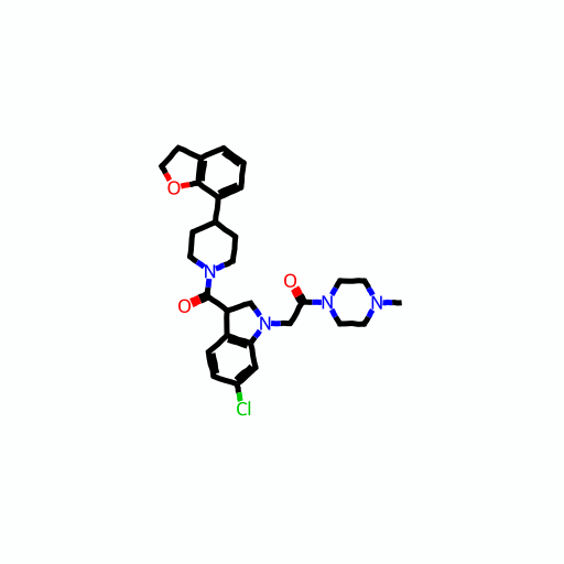 CN1CCN(C(=O)CN2CC(C(=O)N3CCC(c4cccc5c4OCC5)CC3)c3ccc(Cl)cc32)CC1